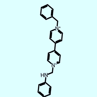 c1ccc(C[n+]2ccc(-c3cc[n+](CNc4ccccc4)cc3)cc2)cc1